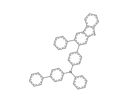 c1ccc(-c2ccc(N(c3ccccc3)c3ccc(-c4cc5sc6ccccc6c5cc4-c4ccccc4)cc3)cc2)cc1